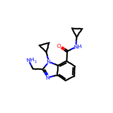 NCc1nc2cccc(C(=O)NC3CC3)c2n1C1CC1